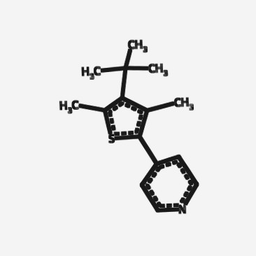 Cc1sc(-c2ccncc2)c(C)c1C(C)(C)C